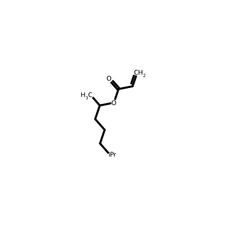 C=CC(=O)OC(C)CCCC(C)C